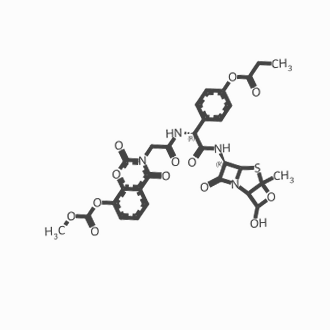 CCC(=O)Oc1ccc([C@@H](NC(=O)Cn2c(=O)oc3c(OC(=O)OC)cccc3c2=O)C(=O)N[C@@H]2C(=O)N3C2SC2(C)OC(O)C32)cc1